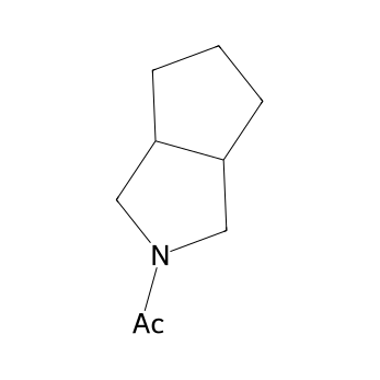 CC(=O)N1CC2CCCC2C1